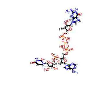 CC[C@@H]1[C@@H](COP(=O)(O)OP(=O)(O)OP(=O)(O)OC[C@H]2O[C@@H](n3cnc4c(N)ncnc43)[C@H](OC)[C@@H]2OP(=O)([O-])OC[C@H]2O[C@@H](n3ccc(=O)[nH]c3=O)[C@H](O)[C@@H]2O)OC(n2c[n+](C)c3c(=O)[nH]c(N)nc32)[C@@H]1O